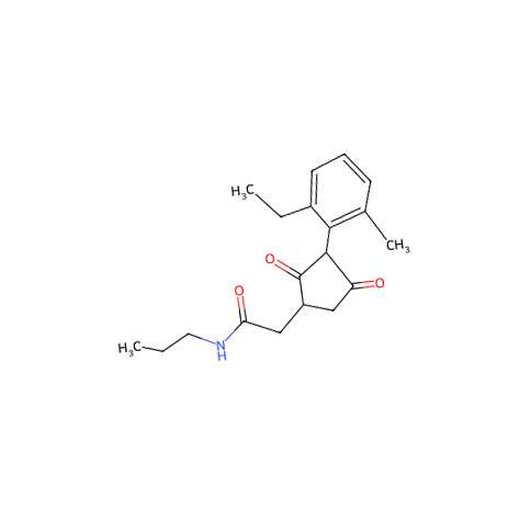 CCCNC(=O)CC1CC(=O)C(c2c(C)cccc2CC)C1=O